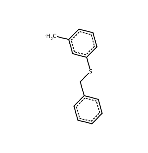 [CH2]c1cccc(SCc2ccccc2)c1